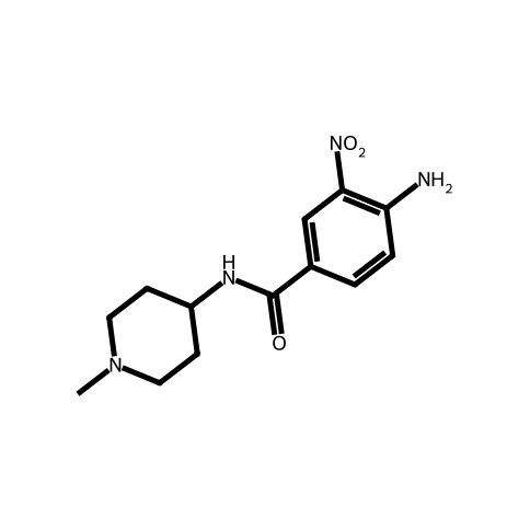 CN1CCC(NC(=O)c2ccc(N)c([N+](=O)[O-])c2)CC1